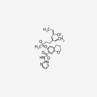 C=C(/C(=C\C(=C/C)C(F)(F)F)CCS(C)(=O)=O)[C@@H]1CCOc2cc(S(=O)(=O)Nc3ncccn3)ccc21